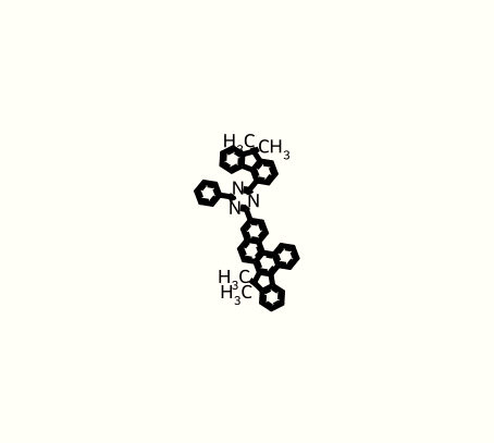 CC1(C)c2ccccc2-c2c(-c3nc(-c4ccccc4)nc(-c4ccc5c(ccc6c7c(c8ccccc8c65)-c5ccccc5C7(C)C)c4)n3)cccc21